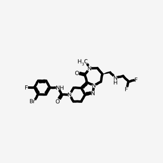 CN1C[C@@H](CNCC(F)F)Cn2nc3c(c2C1=O)CN(C(=O)Nc1ccc(F)c(Br)c1)CC3